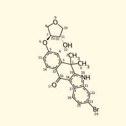 CC1(C)c2cc(O[C@H]3COC[C@@H]3O)ccc2C(=O)c2c1[nH]c1cc(Br)ccc21